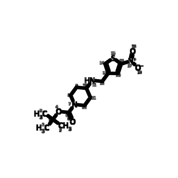 CC(C)(C)OC(=O)N1CCC(NCc2csc([N+](=O)[O-])c2)CC1